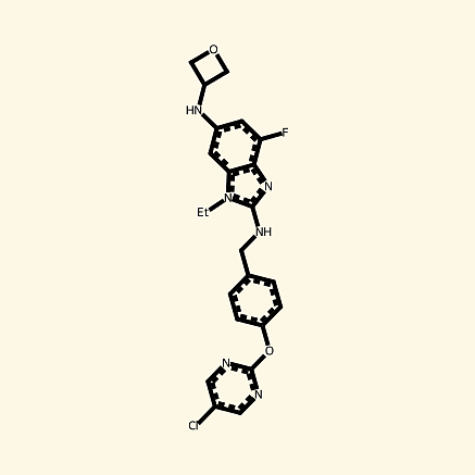 CCn1c(NCc2ccc(Oc3ncc(Cl)cn3)cc2)nc2c(F)cc(NC3COC3)cc21